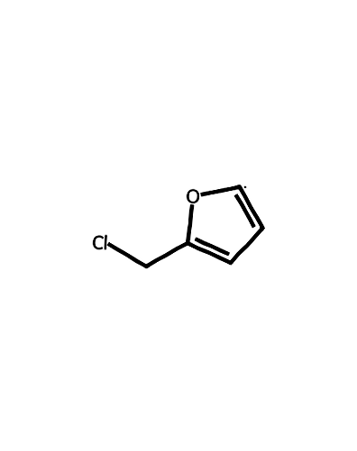 ClCc1cc[c]o1